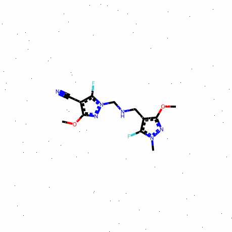 COc1nn(CNCc2c(OC)nn(C)c2F)c(F)c1C#N